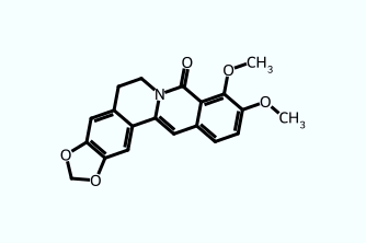 COc1ccc2cc3n(c(=O)c2c1OC)CCc1cc2c(cc1-3)OCO2